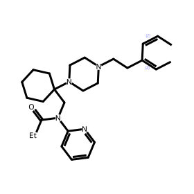 C/C=C\C(=C/C)CCN1CCN(C2(CN(C(=O)CC)c3ccccn3)CCCCC2)CC1